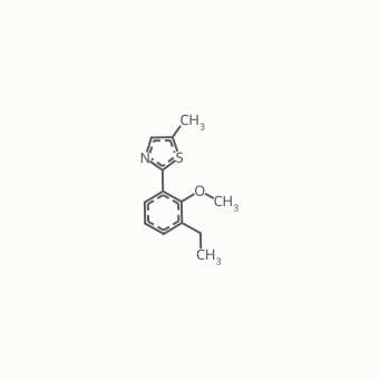 CCc1cccc(-c2ncc(C)s2)c1OC